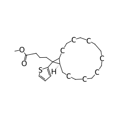 COC(=O)CCCC1(c2cccs2)C2CCCCCCCCCCCCCCC[C@H]21